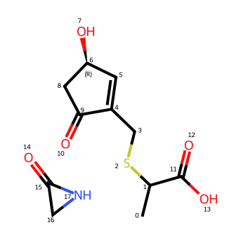 CC(SCC1=C[C@H](O)CC1=O)C(=O)O.O=C1CN1